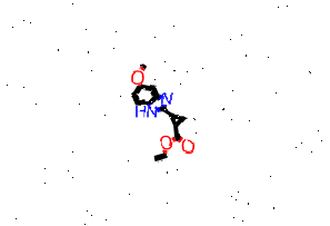 CCOC(=O)C1CC1c1nc2cc(OC)ccc2[nH]1